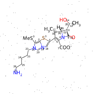 CSc1c2sc(C3=C(C(=O)[O-])N4C(=O)[C@H]([C@@H](C)O)[C@H]4[C@H]3C)c[n+]2cn1CCCCCN